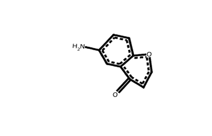 Nc1ccc2occc(=O)c2c1